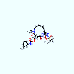 CN1CCCCC=CC2CC2(C(=O)NS(=O)(=O)C2(C)CC2)NC(=O)C2CC(OC(=O)Nc3cccc(C#N)c3)CC2C1=O